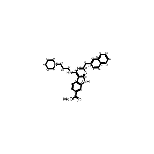 COC(=O)c1ccc2c(c1)[nH]c1nc(Cc3ccc4ccccc4c3)nc(NCCCN3CCCCC3)c12